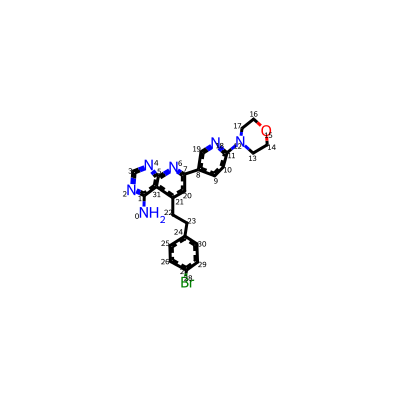 Nc1ncnc2nc(-c3ccc(N4CCOCC4)nc3)cc(CCc3ccc(Br)cc3)c12